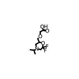 CC(C)N1CC(COCC(=O)O)OC(F)(F)C1